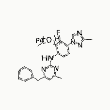 CC(=O)O.Cc1cc(Cc2ccccc2)nc(Nc2ccc(-n3cnc(C)n3)c(F)c2)n1.[Pd]